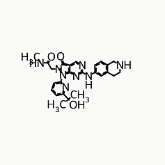 CNC(=O)Cn1c(=O)c2cnc(Nc3ccc4c(c3)CCNC4)nc2n1-c1cccc(C(C)(C)O)n1